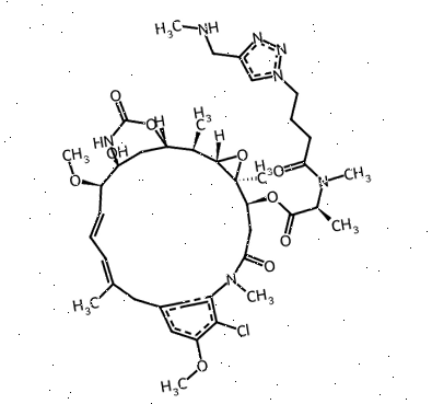 CNCc1cn(CCCC(=O)N(C)[C@@H](C)C(=O)O[C@H]2CC(=O)N(C)c3cc(cc(OC)c3Cl)C/C(C)=C/C=C/[C@@H](OC)[C@@]3(O)C[C@H](OC(=O)N3)[C@@H](C)[C@@H]3O[C@@]23C)nn1